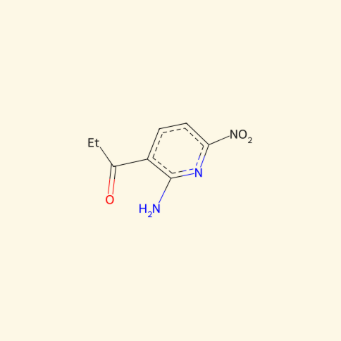 CCC(=O)c1ccc([N+](=O)[O-])nc1N